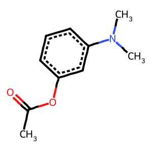 CC(=O)Oc1cccc(N(C)C)c1